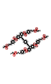 C=CC(=O)OCCCc1ccc(C(=O)Oc2ccc3c(c2)C(C#Cc2ccc(C#CC4c5cc(OC(=O)c6ccc(CCCOC(=O)C=C)cc6)ccc5-c5ccc(OC(=O)c6ccc(CCCOC(=O)C=C)cc6)cc54)cc2)c2cc(OC(=O)c4ccc(CCCOC(=O)C=C)cc4)ccc2-3)cc1